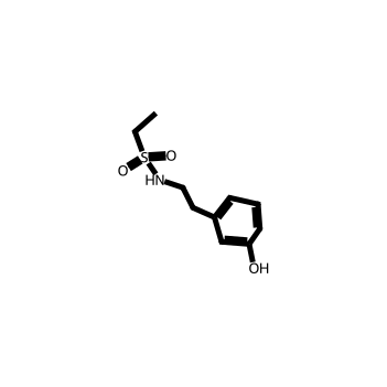 CCS(=O)(=O)NCCc1cccc(O)c1